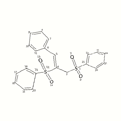 O=S(=O)(CC(=Cc1ccccc1)S(=O)(=O)c1ccccc1)c1ccccc1